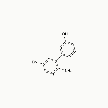 Nc1ncc(Br)cc1-c1cccc(O)c1